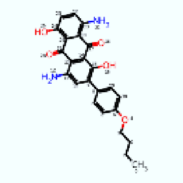 CCCCOc1ccc(-c2cc(N)c3c(c2O)C(=O)c2c(N)ccc(O)c2C3=O)cc1